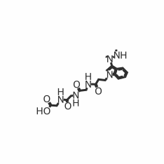 CNN(C)c1cn(CCC(=O)NCC(=O)NCC(=O)NCC(=O)O)c2ccccc12